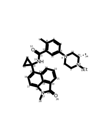 CCN1CCN(c2ccc(C)c(C(=O)NC3(c4ccc5c6c(cccc46)C(=O)N5C)CC3)c2)C[C@@H]1C